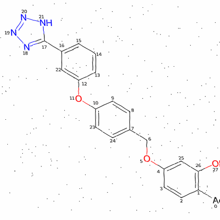 CC(=O)c1ccc(OCc2ccc(Oc3cccc(-c4nnn[nH]4)c3)cc2)cc1O